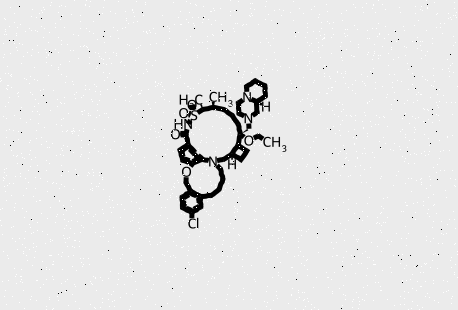 CCO[C@]1(CN2CCN3CCCC[C@@H]3C2)CCC[C@H](C)[C@@H](C)S(=O)(=O)NC(=O)c2ccc3c(c2)N(CCCCc2cc(Cl)ccc2CO3)C[C@@H]2CCC21